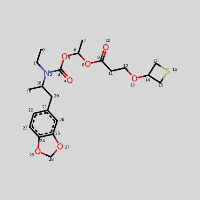 CCN(C(=O)OC(C)OC(=O)CCOC1CSC1)C(C)Cc1ccc2c(c1)OCO2